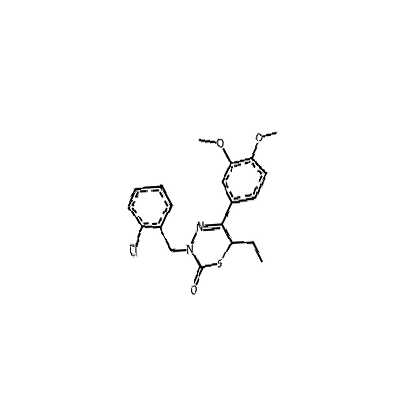 CCC1SC(=O)N(Cc2ccccc2Cl)N=C1c1ccc(OC)c(OC)c1